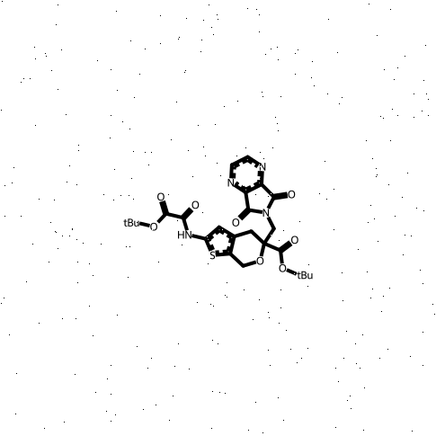 CC(C)(C)OC(=O)C(=O)Nc1cc2c(s1)COC(CN1C(=O)c3nccnc3C1=O)(C(=O)OC(C)(C)C)C2